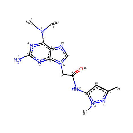 CCCCN(CCCC)c1nc(N)nc2c1ncn2CC(=O)Nc1cc(C)nn1CC